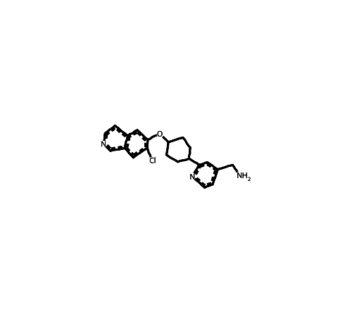 NCc1ccnc(C2CCC(Oc3cc4ccncc4cc3Cl)CC2)c1